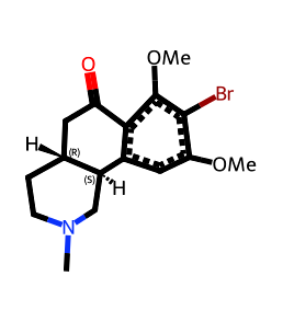 COc1cc2c(c(OC)c1Br)C(=O)C[C@H]1CCN(C)C[C@H]21